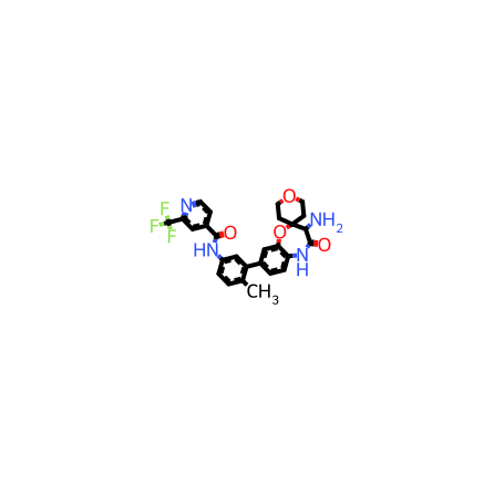 Cc1ccc(NC(=O)c2ccnc(C(F)(F)F)c2)cc1-c1ccc2c(c1)OC1(CCOCC1)C(N)C(=O)N2